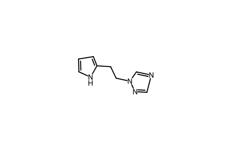 c1c[nH]c(CCn2cncn2)c1